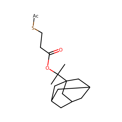 CC(=O)SCCC(=O)OC(C)(C)C12CC3CC(CC(C3)C1)C2